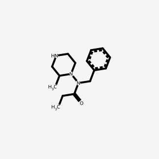 CCC(=O)N(Cc1ccccc1)N1CCNCC1C